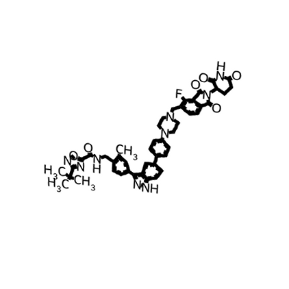 Cc1cc(-c2n[nH]c3ccc(-c4ccc(N5CCN(Cc6ccc7c(c6F)C(=O)N(C6CCC(=O)NC6=O)C7=O)CC5)cc4)cc23)ccc1CNC(=O)c1nc(C(C)(C)C)no1